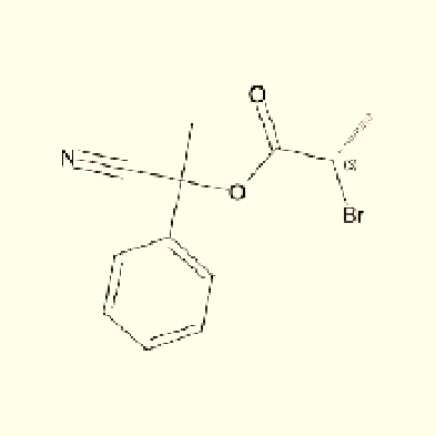 C[C@H](Br)C(=O)OC(C)(C#N)c1ccccc1